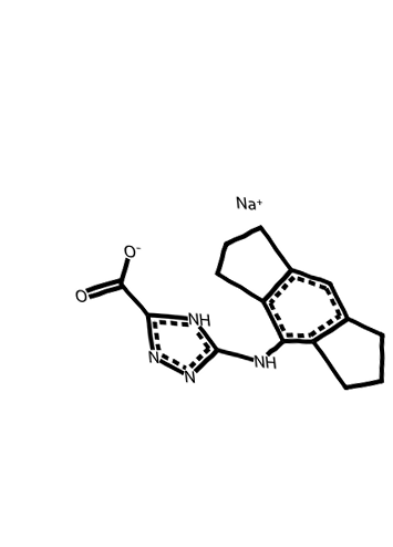 O=C([O-])c1nnc(Nc2c3c(cc4c2CCC4)CCC3)[nH]1.[Na+]